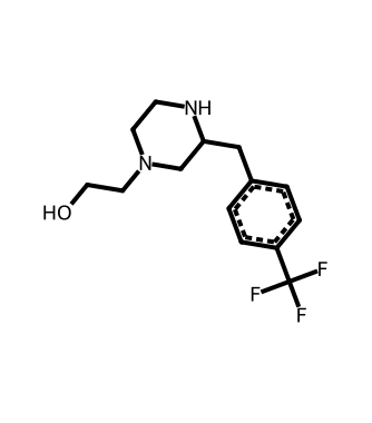 OCCN1CCNC(Cc2ccc(C(F)(F)F)cc2)C1